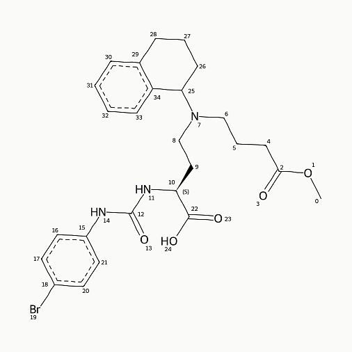 COC(=O)CCCN(CC[C@H](NC(=O)Nc1ccc(Br)cc1)C(=O)O)C1CCCc2ccccc21